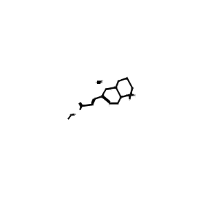 CCOC(=O)/C=C/C1=CCC2C(C)(C)CCC[C@]2(C)[C@H]1C=O